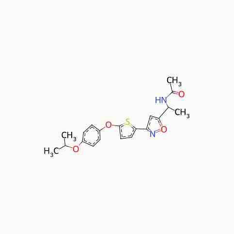 CC(=O)NC(C)c1cc(-c2ccc(Oc3ccc(OC(C)C)cc3)s2)no1